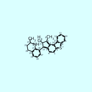 CC1=c2c(ccc3sc4ccccc4c23)=C(c2cccc3c2NC(C)CC3)C1C